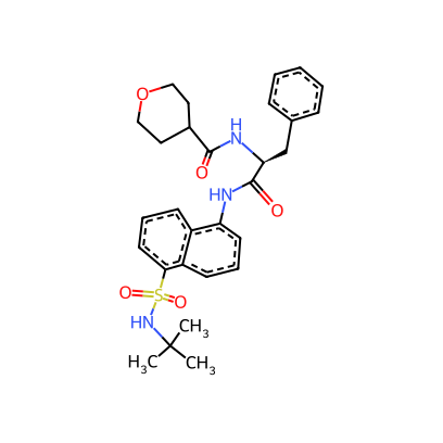 CC(C)(C)NS(=O)(=O)c1cccc2c(NC(=O)[C@H](Cc3ccccc3)NC(=O)C3CCOCC3)cccc12